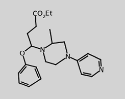 CCOC(=O)CCC(Oc1ccccc1)N1CCN(c2ccncc2)CC1C